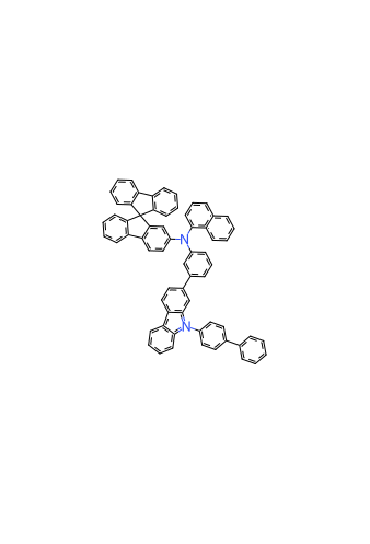 c1ccc(-c2ccc(-n3c4ccccc4c4ccc(-c5cccc(N(c6ccc7c(c6)C6(c8ccccc8-c8ccccc86)c6ccccc6-7)c6cccc7ccccc67)c5)cc43)cc2)cc1